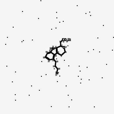 CCOC(=O)CC1OCCc2c1[nH]c1cccc(CCCBr)c21